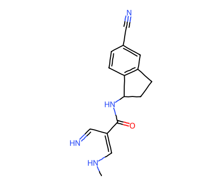 CN/C=C(\C=N)C(=O)NC1CCc2cc(C#N)ccc21